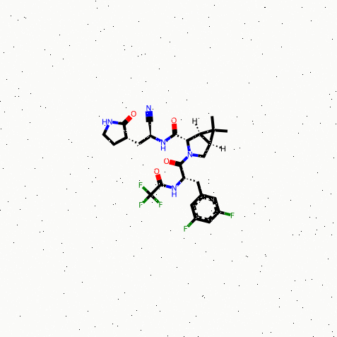 CC1(C)[C@@H]2[C@@H](C(=O)N[C@H](C#N)C[C@@H]3CCNC3=O)N(C(=O)[C@H](Cc3cc(F)cc(F)c3)NC(=O)C(F)(F)F)C[C@@H]21